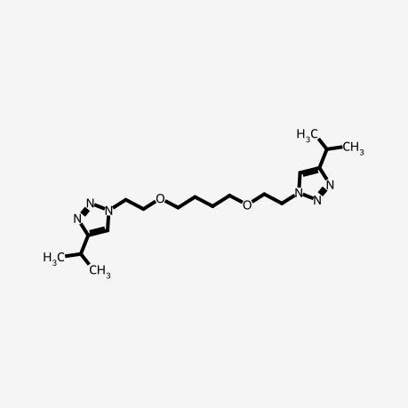 CC(C)c1cn(CCOCCCCOCCn2cc(C(C)C)nn2)nn1